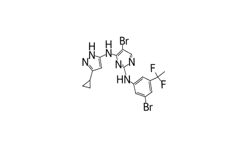 CC(F)(F)c1cc(Br)cc(Nc2ncc(Br)c(Nc3cc(C4CC4)n[nH]3)n2)c1